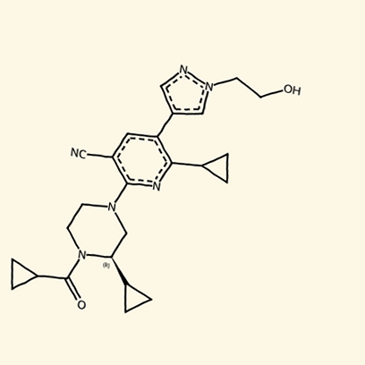 N#Cc1cc(-c2cnn(CCO)c2)c(C2CC2)nc1N1CCN(C(=O)C2CC2)[C@H](C2CC2)C1